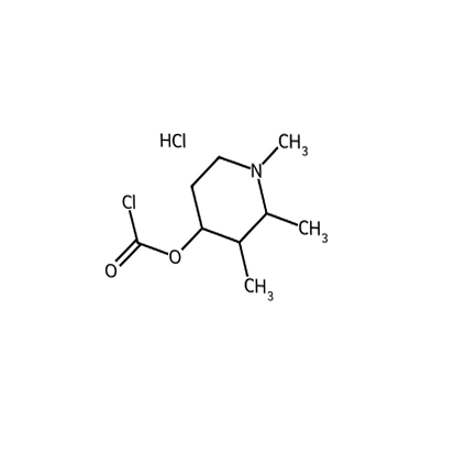 CC1C(OC(=O)Cl)CCN(C)C1C.Cl